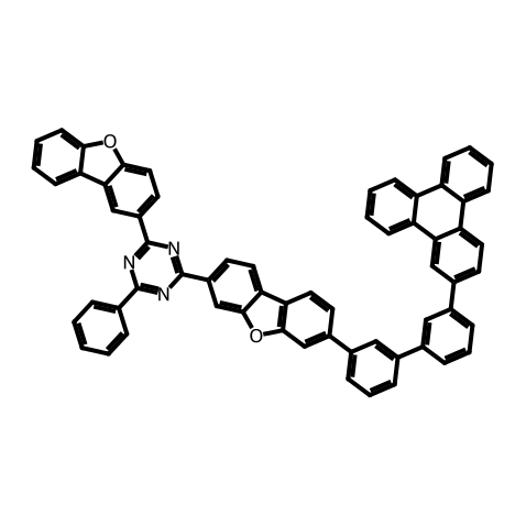 c1ccc(-c2nc(-c3ccc4c(c3)oc3cc(-c5cccc(-c6cccc(-c7ccc8c9ccccc9c9ccccc9c8c7)c6)c5)ccc34)nc(-c3ccc4oc5ccccc5c4c3)n2)cc1